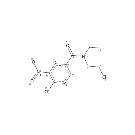 CCN(CCCl)C(=O)c1ccc(Cl)c([N+](=O)[O-])c1